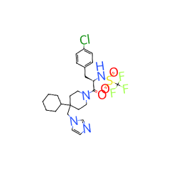 O=C([C@@H](Cc1ccc(Cl)cc1)NS(=O)(=O)C(F)(F)F)N1CCC(Cn2ccnc2)(C2CCCCC2)CC1